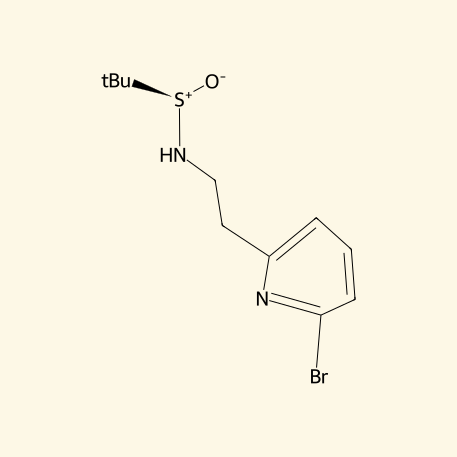 CC(C)(C)[S@@+]([O-])NCCc1cccc(Br)n1